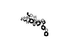 C=CC(=O)Nc1cc(Nc2nccc(N3OCC[C@@H]3c3cccc(Oc4ccccc4)c3)n2)c(OC)cc1N(C)CCN(C)C